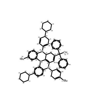 CC(C)(C)C1=CCC(N2C3=C4B(c5cc(C6CCCCC6)ccc52)c2cc(C(C)(C)C)ccc2N(C2=CCC(C5CCCCC5)C=C2)C4CC(C(C)(c2ccccc2)c2ccccc2)=C3)C=C1